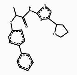 CC(Oc1ccc(-c2ccccc2)cc1)C(=O)Nc1nnc(C2CCCO2)s1